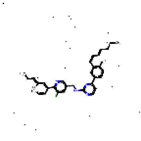 C\C=C/C(=C\C(C)=C\CC)c1ncc(CNc2nccc(-c3ccc(C)c(/C=C\C=C\CCC)c3)n2)cc1F